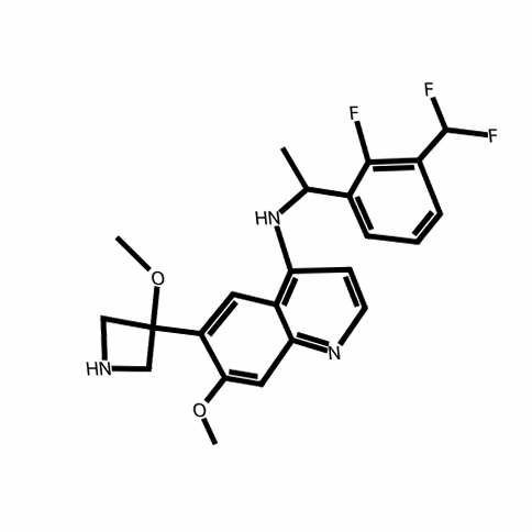 COc1cc2nccc(NC(C)c3cccc(C(F)F)c3F)c2cc1C1(OC)CNC1